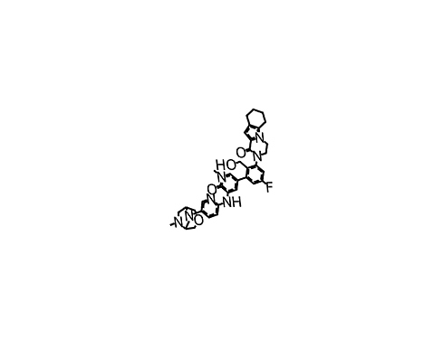 CN1CC2COCC1CN2c1ccc(Nc2cc(-c3cc(F)cc(N4CCn5c(cc6c5CCCC6)C4=O)c3CO)cn(C)c2=O)nc1